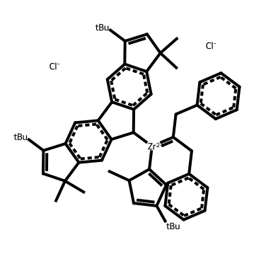 CC1C=C(C(C)(C)C)C=[C]1[Zr+2](=[C](Cc1ccccc1)Cc1ccccc1)[CH]1c2cc3c(cc2-c2cc4c(cc21)C(C)(C)C=C4C(C)(C)C)C(C(C)(C)C)=CC3(C)C.[Cl-].[Cl-]